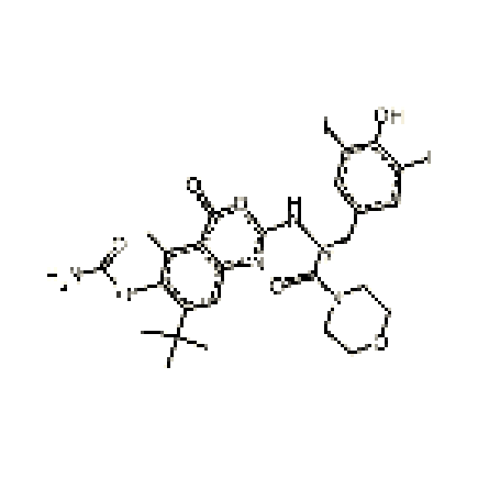 Cc1c(OC(N)=O)c(C(C)(C)C)cc2nc(N[C@@H](Cc3cc(I)c(O)c(I)c3)C(=O)N3CCOCC3)oc(=O)c12